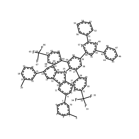 Cc1cccc(-c2ccc3c(c2)c2cc(-c4cccc(C)c4)ccc2n3-c2c(-c3ccc(C(F)(F)F)cc3)cc(-c3cc(-c4ccccc4)nc(-c4ccccc4)n3)cc2-c2ccc(C(F)(F)F)cc2)c1